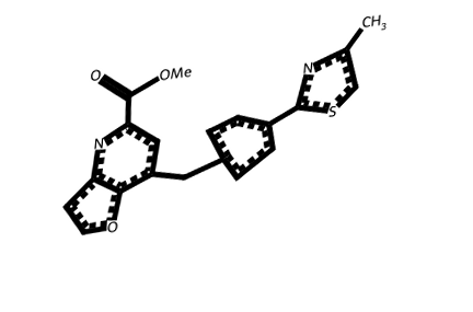 COC(=O)c1cc(Cc2ccc(-c3nc(C)cs3)cc2)c2occc2n1